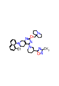 CCc1cccc2cccc(N3CCc4c(nc(OCC56CCCN5CCC6)nc4N4CCCC(c5nc(C)no5)C4)C3)c12